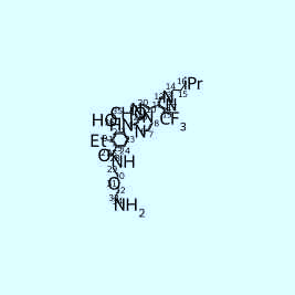 CCc1cc(Nc2nccn3c(-c4cn(CCC(C)C)nc4C(F)(F)F)cnc23)ccc1C(=O)NCCOCCN.O=CO